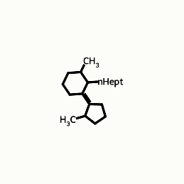 CCCCCCCC1C(=C2CCCC2C)CCCC1C